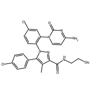 Cc1c(C(=O)NCCO)nn(-c2ccc(Cl)cc2-n2ccc(N)nc2=O)c1-c1ccc(Cl)cc1